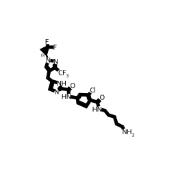 NCCCCCNC(=O)c1ccc(NC(=O)c2ncc(Cc3cn([C@H]4CC4(F)F)nc3C(F)(F)F)[nH]2)cc1Cl